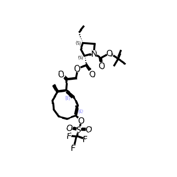 C=C1CCCC/C(OS(=O)(=O)C(F)(F)F)=C\C=C/1C(=O)COC(=O)[C@@H]1C[C@H](CC)CN1C(=O)OC(C)(C)C